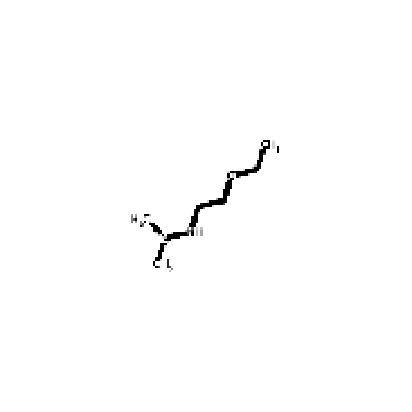 CCOCCNN(C)C